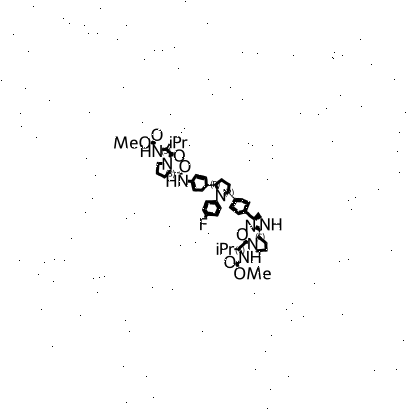 COC(=O)N[C@H](C(=O)N1CCC[C@H]1C(=O)NC1=CCC([C@H]2CC[C@H](c3ccc(-c4c[nH]c([C@@H]5CCCN5C(=O)[C@@H](NC(=O)OC)C(C)C)n4)cc3)N2c2ccc(F)cc2)C=C1)C(C)C